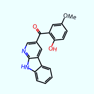 COc1ccc(O)c(C(=O)c2cnc3[nH]c4ccccc4c3c2)c1